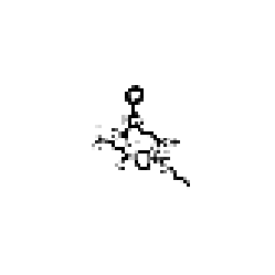 CCCCOC(=O)N1CCN(C(=O)C(CCC(=O)O)NC(=O)c2nc(-c3ccccc3)sc2C=CC(=O)O)CC1